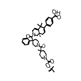 CC(C)(C)OC(=O)N1CCC(C)(C(=O)N2CCC(C(=O)N3CC=C4C(C)(C)C(c5ccc(C(=O)O)cc5)=CC[C@]4(C)C3)(c3ccccc3)CC2)CC1